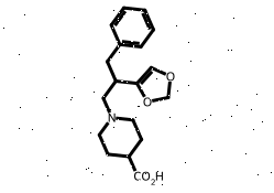 O=C(O)C1CCN(CC(Cc2ccccc2)C2=COCO2)CC1